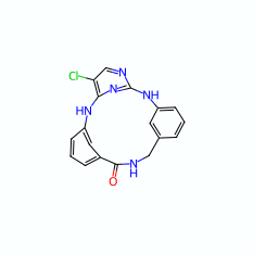 O=C1NCc2cccc(c2)Nc2ncc(Cl)c(n2)Nc2cccc1c2